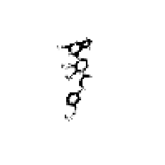 COc1cccc(OCC(=O)N2CCN(c3nc(N)nc4scnc34)C(C)C2C)c1